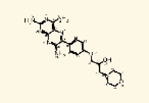 Nc1nc(N)c2nc(-c3ccc(OCC(O)CN4CCOCC4)cc3)c(N)nc2n1